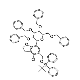 CC(C)(C)[Si](OCc1cc(C2O[C@H](COCc3ccccc3)[C@@H](OCc3ccccc3)[C@H](OCc3ccccc3)[C@H]2OCc2ccccc2)c2c(c1Cl)CCO2)(c1ccccc1)c1ccccc1